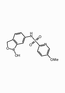 COc1ccc(S(=O)(=O)Nc2ccc3c(c2)B(O)OC3)nc1